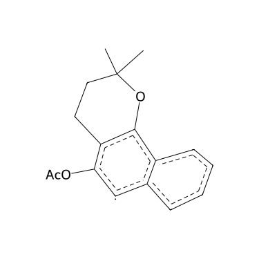 CC(=O)Oc1[c]c2ccccc2c2c1CCC(C)(C)O2